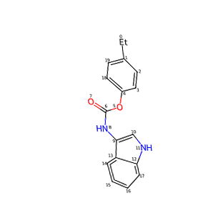 CCc1ccc(OC(=O)Nc2c[nH]c3c2=C=C=CC=3)cc1